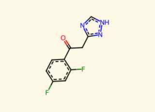 O=C(Cc1nc[nH]n1)c1ccc(F)cc1F